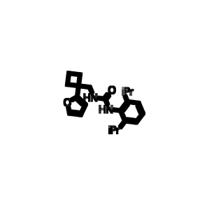 CC(C)c1cccc(C(C)C)c1NC(=O)NCC1(c2ccco2)CCC1